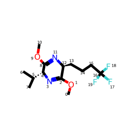 COC1=N[C@H](C(C)C)C(OC)=N[C@H]1CCCC(F)(F)F